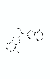 CCC(C1=Cc2cccc(C)c2C1)C1=Cc2cccc(C)c2C1